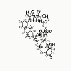 C[C@H](NC(=O)CCN1C(=O)C=CC1=O)C(=O)N[C@@H](C)C(=O)Nc1cccc(Cc2ccc([C@@H](O)O[C@@H]3CC4[C@@H]5CCC6=CC(=O)C=C[C@]6(C)C5[C@@H](O)C[C@]4(C)[C@H]3C(=O)CO)cc2O)c1